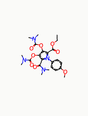 CCOC(=O)c1c(OC(=O)N(C)C)c(OC(=O)N(C)C)c(C(=O)N(C)C)n1-c1ccc(OC)cc1